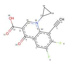 C#Cc1c(F)c(F)cc2c(=O)c(C(=O)O)cn(C3CC3)c12